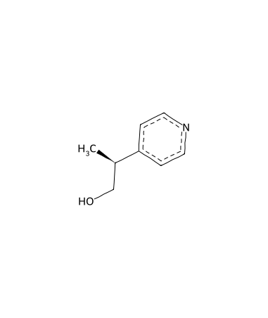 C[C@H](CO)c1ccncc1